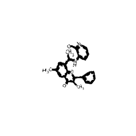 Cc1cc(C(C)Nc2cccnc2Cl)c2oc(-c3ccccc3)c(C)c(=O)c2c1